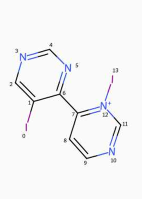 Ic1cncnc1-c1ccnc[n+]1I